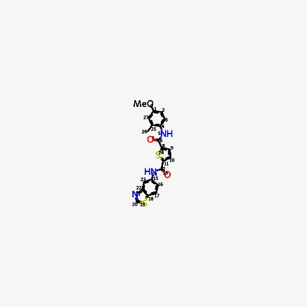 COc1ccc(NC(=O)c2ccc(C(=O)Nc3ccc4scnc4c3)s2)c(C)c1